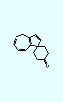 O=C1CCC2(C=CC3=C2C=CC=IC3)CC1